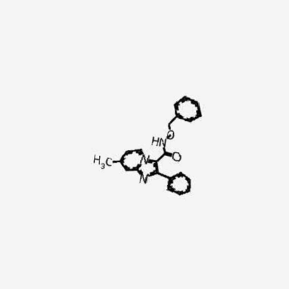 Cc1ccn2c(C(=O)NOCc3ccccc3)c(-c3ccccc3)nc2c1